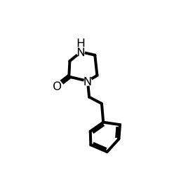 O=C1CNCCN1CCc1ccccc1